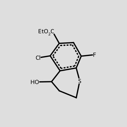 CCOC(=O)c1cc(F)c2c(c1Cl)C(O)CCS2